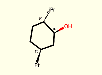 CC[C@H]1CC[C@H](C(C)C)[C@@H](O)C1